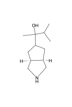 CC(C)C(C)(O)C1C[C@H]2CNC[C@H]2C1